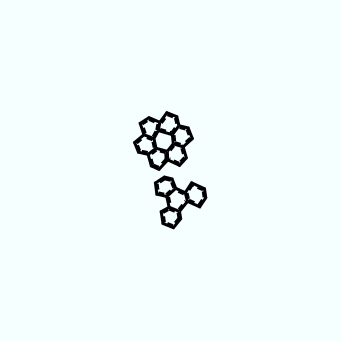 c1cc2ccc3ccc4ccc5ccc6ccc1c1c2c3c4c5c61.c1ccc2c(c1)c1ccccc1c1ccccc21